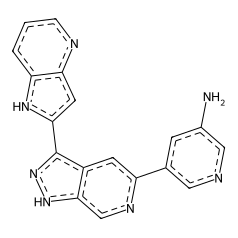 Nc1cncc(-c2cc3c(-c4cc5ncccc5[nH]4)n[nH]c3cn2)c1